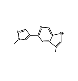 Cn1cc(-c2cc3c(I)c[nH]c3cn2)cn1